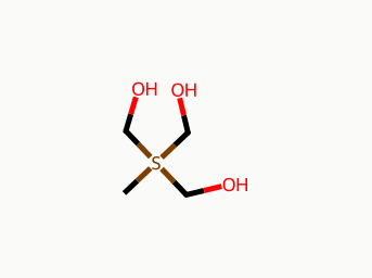 CS(CO)(CO)CO